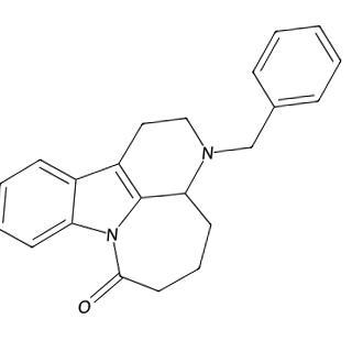 O=C1CCCC2c3c(c4ccccc4n31)CCN2Cc1ccccc1